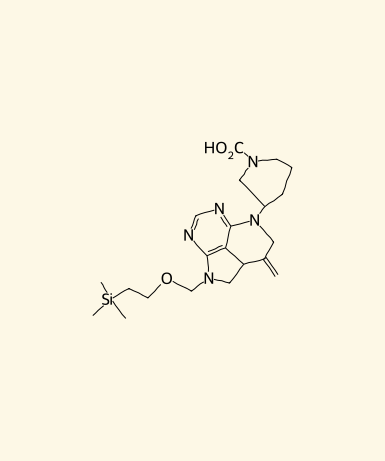 C=C1CN(C2CCCN(C(=O)O)C2)c2ncnc3c2C1CN3COCC[Si](C)(C)C